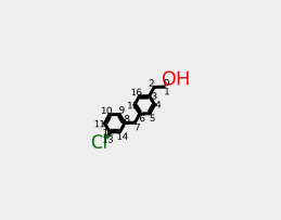 OCCc1ccc(Cc2cccc(Cl)c2)cc1